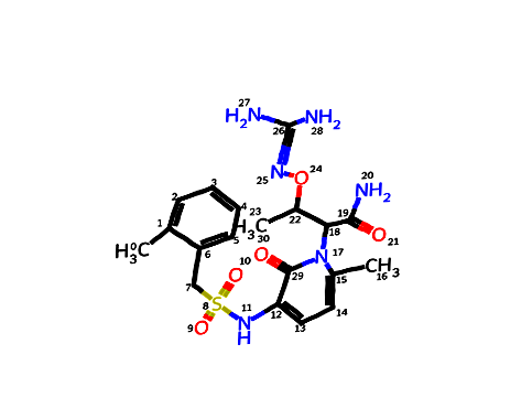 Cc1ccccc1CS(=O)(=O)Nc1ccc(C)n(C(C(N)=O)C(C)ON=C(N)N)c1=O